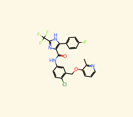 Cc1ncccc1OCc1cc(NC(=O)c2nc(C(F)(F)F)[nH]c2-c2ccc(F)cc2)ccc1Cl